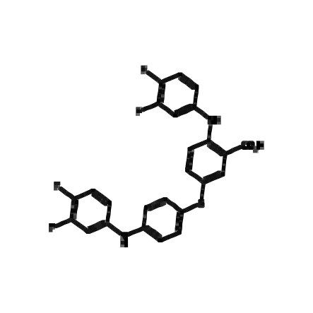 O=C(O)c1cc(Sc2ccc(Nc3ccc(F)c(F)c3)cc2)ccc1Nc1ccc(F)c(F)c1